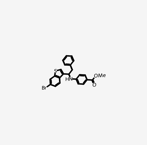 COC(=O)c1ccc(NC(Cc2ccccc2)c2csc3cc(Br)ccc23)cc1